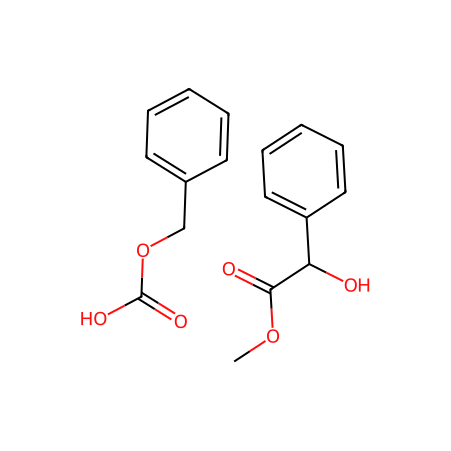 COC(=O)C(O)c1ccccc1.O=C(O)OCc1ccccc1